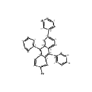 Brc1ccc2c(-c3ccccc3)c3cc(-c4cccnc4)ccc3c(-c3ccccc3)c2c1